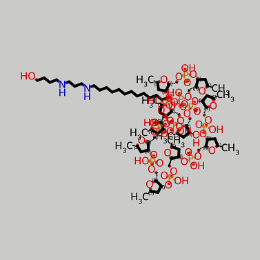 C[C@H]1C[C@@H](O)[C@@H](COP(=O)(O)O[C@@H]2C[C@H](C)O[C@@H]2COP(=O)(O)O[C@@H]2C[C@H](C)O[C@@H]2COP(=O)(O)O[C@@H]2C[C@H](C)O[C@@H]2COP(=O)(O)O[C@@H]2C[C@H](C)O[C@@H]2COP(=O)(O)O[C@@H]2C[C@H](C)O[C@@H]2COP(=O)(O)O[C@@H]2C[C@H](C)O[C@@H]2COP(=O)(O)O[C@@H]2C[C@H](C)O[C@@H]2COP(=O)(O)O[C@@H]2C[C@H](C)O[C@@H]2COP(=O)(O)O[C@@H]2C[C@H](C)O[C@@H]2COP(=O)(O)OCCCCCCCCCCCCCNCCCNCCCCO)O1